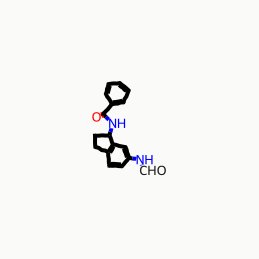 O=CNc1ccc2c(c1)C(NC(=O)c1ccccc1)CC2